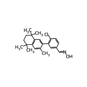 Cc1cc2c(cc1-c1cc(/C=N/O)ccc1Cl)C(C)(C)CCC2(C)C